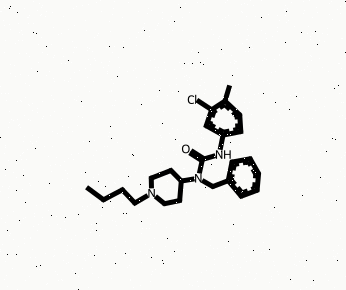 CCCCN1CCC(N(Cc2ccccc2)C(=O)Nc2ccc(C)c(Cl)c2)CC1